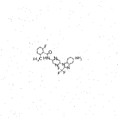 Cc1cccc(F)c1C(=O)Nc1cnc(-n2c(C(F)(F)F)nc3cc(N)ccc32)cn1